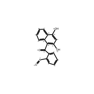 O=Nc1ccccc1C(=O)c1c(O)cc(O)c2ccccc12